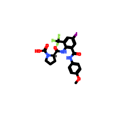 COc1ccc(NC(=O)c2cc(I)cc(C(F)(F)F)c2NC(=O)[C@H]2CCCN2C(=O)O)cc1